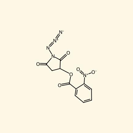 [N-]=[N+]=NN1C(=O)CC(OC(=O)c2ccccc2[N+](=O)[O-])C1=O